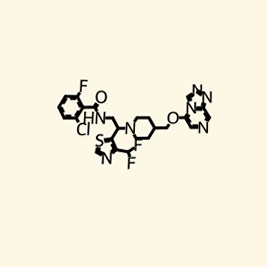 O=C(NCC(c1scnc1C(F)F)N1CCC(COc2cncc3nncn23)CC1)c1c(F)cccc1Cl